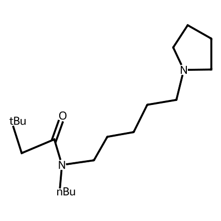 CCCCN(CCCCCN1CCCC1)C(=O)CC(C)(C)C